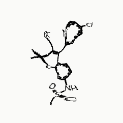 CC1(C)Oc2cc(NS(C)(=O)=O)ccc2C(c2ccc(Cl)cn2)=C1Br